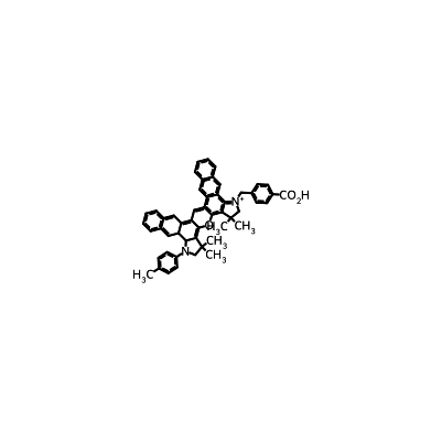 Cc1ccc(N2CC(C)(C)C3=C4Oc5c6c(c7cc8ccccc8cc7c5=CC4=C4C=c5ccccc5=CC4C32)=[N+](Cc2ccc(C(=O)O)cc2)CC6(C)C)cc1